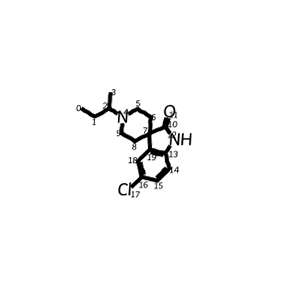 CCC(C)N1CCC2(CC1)C(=O)Nc1ccc(Cl)cc12